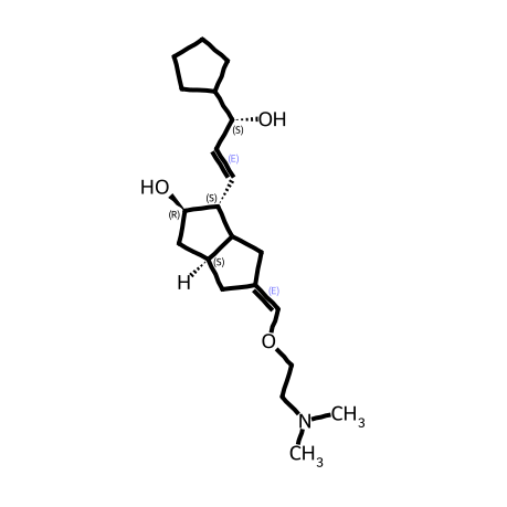 CN(C)CCO/C=C1/CC2[C@@H](C1)C[C@@H](O)[C@@H]2/C=C/[C@@H](O)C1CCCC1